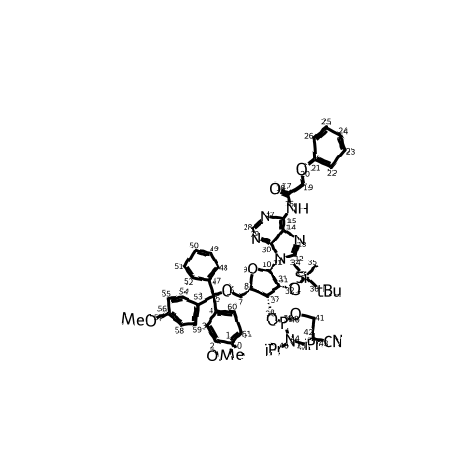 COc1ccc(C(OC[C@H]2O[C@@H](n3cnc4c(NC(=O)COc5ccccc5)ncnc43)[C@H](O[Si](C)(C)C(C)(C)C)[C@@H]2OP(OCCC#N)N(C(C)C)C(C)C)(c2ccccc2)c2ccc(OC)cc2)cc1